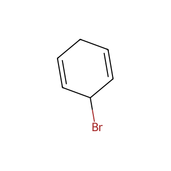 BrC1C=CCC=C1